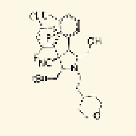 CC(C)(C)C[C@@H]1N(CCC2CCOCC2)[C@@H](CO)[C@H](c2cccc(Cl)c2F)[C@@]1(C#N)c1ccc(Cl)cc1F